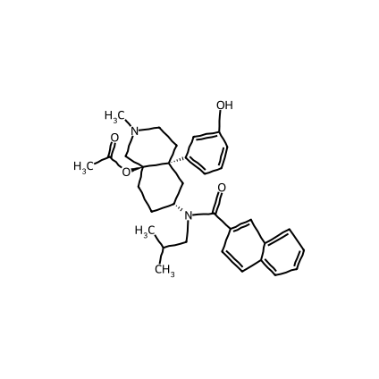 CC(=O)O[C@]12CC[C@@H](N(CC(C)C)C(=O)c3ccc4ccccc4c3)C[C@]1(c1cccc(O)c1)CCN(C)C2